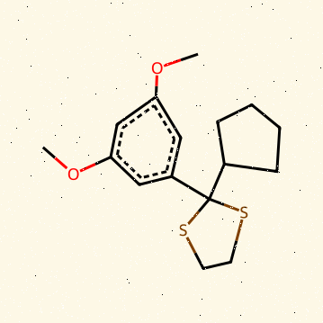 COc1cc(OC)cc(C2(C3CCCC3)SCCS2)c1